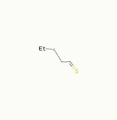 CC[CH]CC=S